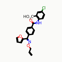 C=CCON=C(c1ccc(C(=O)Nc2ccc(Cl)cc2C(=O)O)cc1)c1ccco1